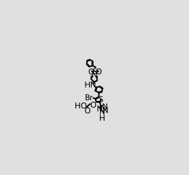 O=C(O)COc1c(-c2nn[nH]n2)sc(-c2cccc(NC3CCN(S(=O)(=O)Cc4ccccc4)CC3)c2)c1Br